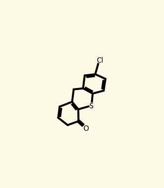 O=C1CC=CC2=C1Sc1ccc(Cl)cc1C2